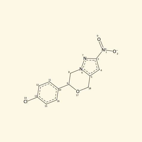 O=[N+]([O-])c1cc2n(n1)CC(c1ccc(Cl)cc1)OC2